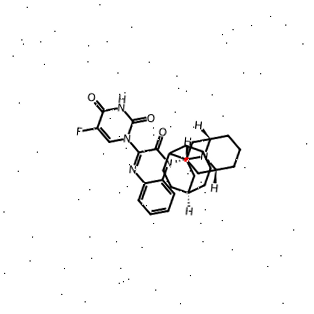 O=c1[nH]c(=O)n(-c2nc3ccccc3n([C@H]3C[C@H]4CCC[C@@H](C3)N4[C@@H]3C[C@H]4CCCCC3CC4)c2=O)cc1F